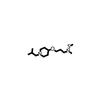 CSN(C)CCCOC1CCN(CC(C)C)CC1